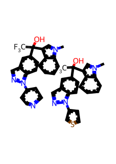 Cn1cc(C(O)(c2ccc3c(cnn3-c3ccncc3)c2)C(F)(F)F)c2ccccc21.Cn1cc(C(O)(c2ccc3c(cnn3-c3ccsc3)c2)C(F)(F)F)c2ccccc21